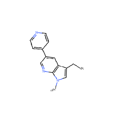 CCCn1cc(CC(C)C)c2cc(-c3ccncc3)cnc21